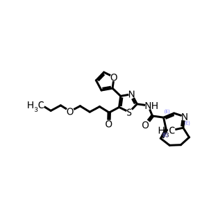 CCCOCCCC(=O)c1sc(NC(=O)C2=C/N=C(\C)CCC\C=C\2)nc1-c1ccco1